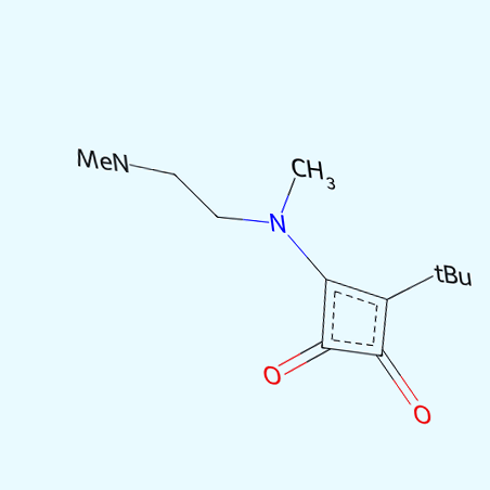 CNCCN(C)c1c(C(C)(C)C)c(=O)c1=O